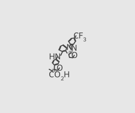 Cc1c(CNc2ccc3c(c2)OC[C@H]3C(C)C(=O)O)cccc1-n1c([C@H]2CCCO2)nc2cc(C(F)(F)F)ccc21